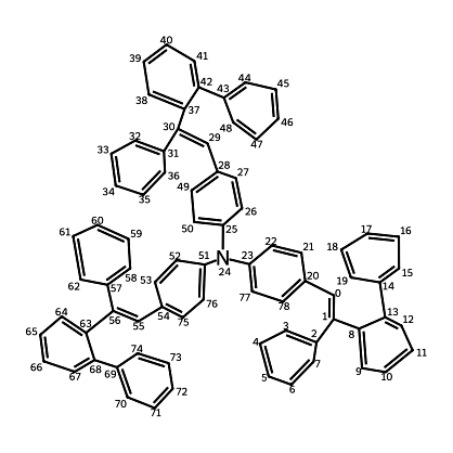 C(=C(/c1ccccc1)c1ccccc1-c1ccccc1)/c1ccc(N(c2ccc(/C=C(\c3ccccc3)c3ccccc3-c3ccccc3)cc2)c2ccc(/C=C(\c3ccccc3)c3ccccc3-c3ccccc3)cc2)cc1